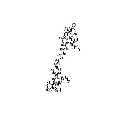 Cn1c(=O)n(C2CCC(=O)NC2=O)c2cccc(CCCCCCCCN3CCN(c4cc(-c5ccccc5O)nnc4N)CC3)c21